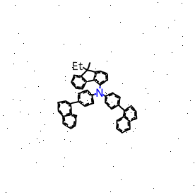 CCC1(C)c2ccccc2-c2c(N(c3ccc(-c4cccc5ccccc45)cc3)c3ccc(-c4cccc5ccccc45)cc3)cccc21